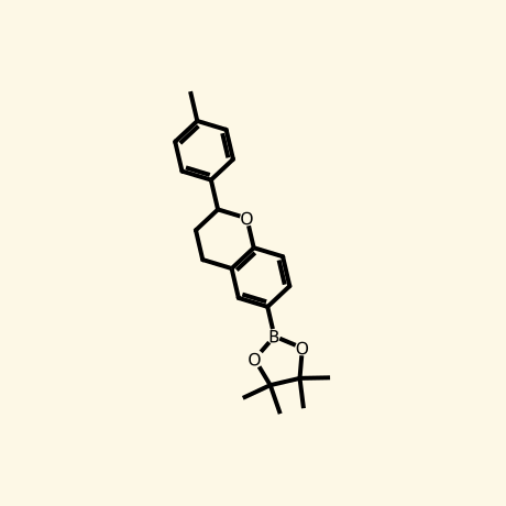 Cc1ccc(C2CCc3cc(B4OC(C)(C)C(C)(C)O4)ccc3O2)cc1